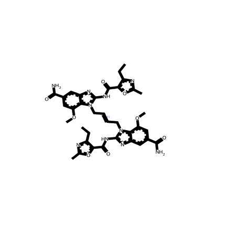 CCc1nc(C)oc1C(=O)Nc1nc2cc(C(N)=O)cc(OC)c2n1C/C=C/Cn1c(NC(=O)c2oc(C)nc2CC)nc2cc(C(N)=O)cc(OC)c21